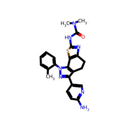 Cc1ccccc1-n1nc(-c2ccc(N)nc2)c2c1-c1sc(NC(=O)N(C)C)nc1CC2